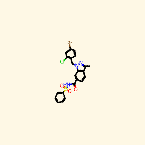 Cc1nn(Cc2ccc(Br)cc2Cl)c2cc(C(=O)NS(=O)(=O)c3ccccc3)ccc12